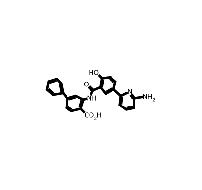 Nc1cccc(-c2ccc(O)c(C(=O)Nc3cc(-c4ccccc4)ccc3C(=O)O)c2)n1